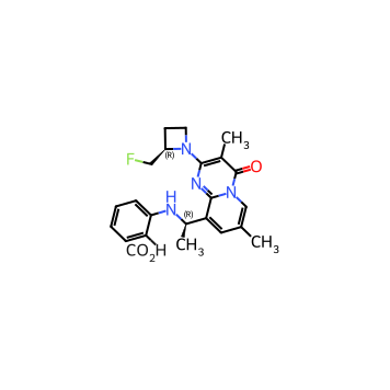 Cc1cc([C@@H](C)Nc2ccccc2C(=O)O)c2nc(N3CC[C@@H]3CF)c(C)c(=O)n2c1